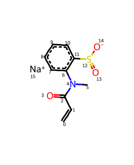 C=CC(=O)N(C)c1ccccc1S(=O)[O-].[Na+]